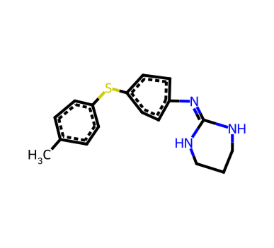 Cc1ccc(Sc2ccc(N=C3NCCCN3)cc2)cc1